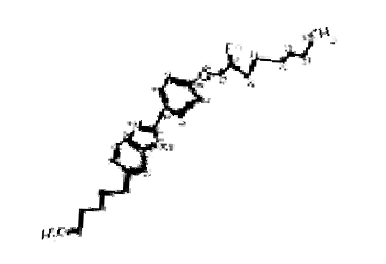 CCCCCCc1ccc2nc(-c3ccc(OCC(F)CCCCCC)cc3)sc2c1